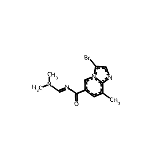 Cc1cc(C(=O)N=CN(C)C)cn2c(Br)cnc12